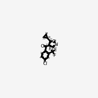 O=C(c1ccc(Cl)cc1C(F)(F)F)c1cnoc1C1CC1